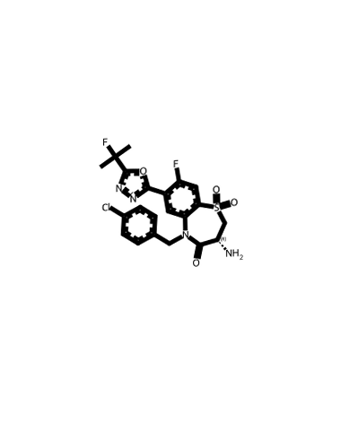 CC(C)(F)c1nnc(-c2cc3c(cc2F)S(=O)(=O)C[C@H](N)C(=O)N3Cc2ccc(Cl)cc2)o1